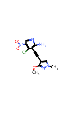 COc1nn(C)cc1C#Cc1c(N)ncc([N+](=O)[O-])c1Cl